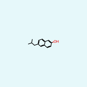 CC(C)Cc1ccc2cc(O)ccc2c1